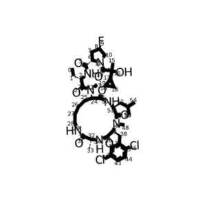 CC[C@H](NC(=O)[C@@H]1C[C@@H](F)CN1C(=O)C(C)(O)C1CC1)C(=O)N(C)[C@H]1CCCCNC(=O)[C@@H](C)NC(=O)[C@H](Cc2cc(Cl)ccc2Cl)N(C)C(=O)[C@H](CC(C)C)NC1=O